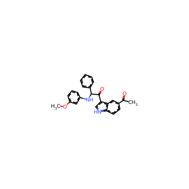 COc1cccc(NC(C(=O)c2c[nH]c3ccc(C(C)=O)cc23)c2ccccc2)c1